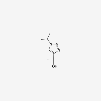 CC(C)n1cc(C(C)(C)O)nn1